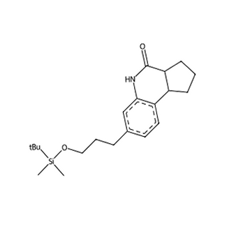 CC(C)(C)[Si](C)(C)OCCCc1ccc2c(c1)NC(=O)C1CCCC21